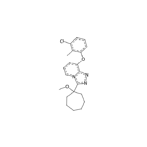 COC1(c2nnc3c(Oc4cccc(Cl)c4C)cccn23)CCCCCC1